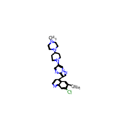 COc1cc2c(-c3cnn4cc(N5CCC(N6CCN(C)CC6)CC5)cnc34)ccnc2cc1Cl